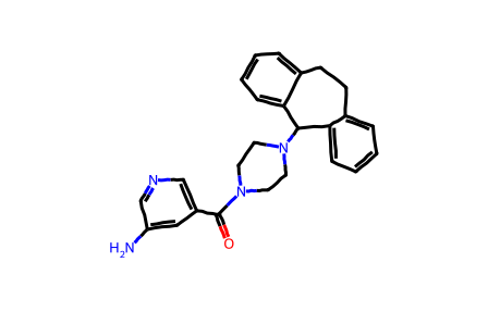 Nc1cncc(C(=O)N2CCN(C3c4ccccc4CCc4ccccc43)CC2)c1